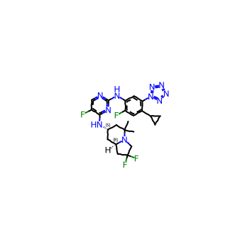 CC1(C)C[C@@H](Nc2nc(Nc3cc(-n4nnnn4)c(C4CC4)cc3F)ncc2F)C[C@@H]2CC(F)(F)CN21